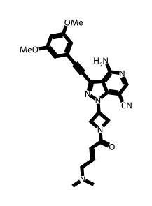 COc1cc(C#Cc2nn(C3CN(C(=O)C=CCN(C)C)C3)c3c(C#N)cnc(N)c23)cc(OC)c1